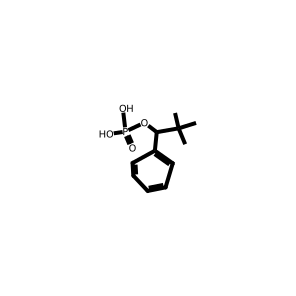 CC(C)(C)C(OP(=O)(O)O)c1ccccc1